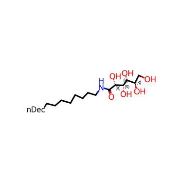 CCCCCCCCCCCCCCCCCCNC(=O)[C@H](O)[C@@H](O)[C@H](O)[C@H](O)CO